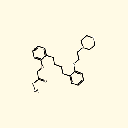 COC(=O)COc1ccccc1CC[CH]Cc1ccccc1OCCN1CCOCC1